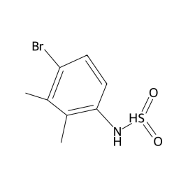 Cc1c(Br)ccc(N[SH](=O)=O)c1C